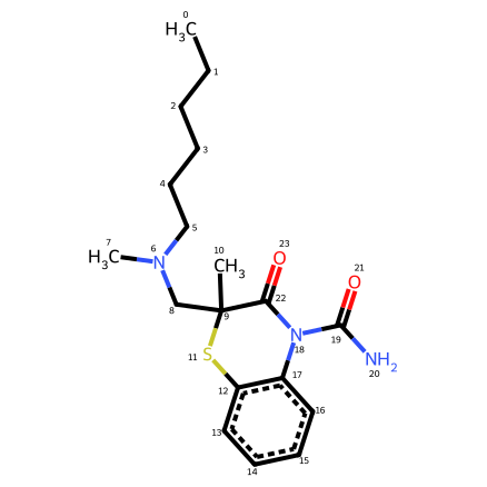 CCCCCCN(C)CC1(C)Sc2ccccc2N(C(N)=O)C1=O